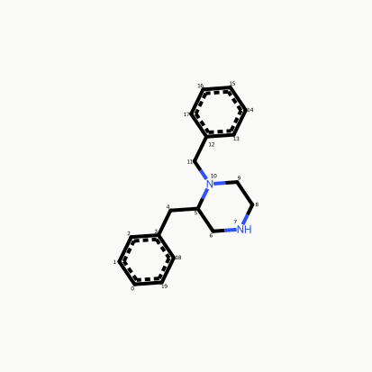 c1ccc(CC2CNCCN2Cc2ccccc2)cc1